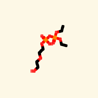 CCOP(=O)(OCC)OP(=O)(O)OCCOCCO